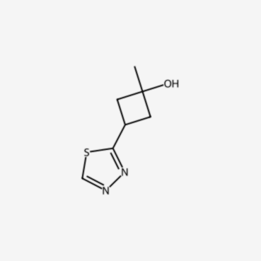 CC1(O)CC(c2nncs2)C1